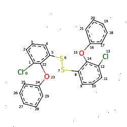 Clc1cccc(SSc2cccc(Cl)c2Oc2ccccc2)c1Oc1ccccc1